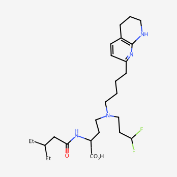 CCC(CC)CC(=O)NC(CCN(CCCCc1ccc2c(n1)NCCC2)CCC(F)F)C(=O)O